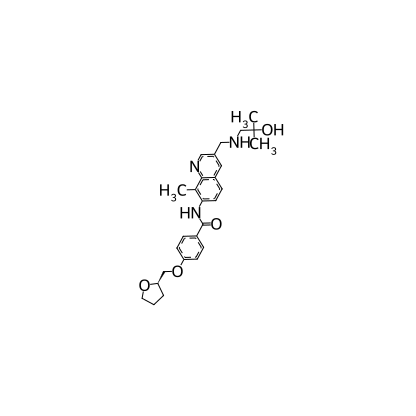 Cc1c(NC(=O)c2ccc(OC[C@H]3CCCO3)cc2)ccc2cc(CNCC(C)(C)O)cnc12